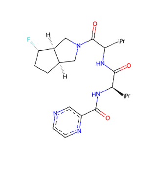 CC(C)C(NC(=O)[C@H](NC(=O)c1cnccn1)C(C)C)C(=O)N1C[C@H]2CC[C@H](F)[C@H]2C1